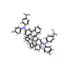 CC(C)c1ccc(N(c2ccc(F)cc2)c2ccc3c4c(c5ccccc5c3c2)-c2cc(N(c3ccc(F)cc3)c3ccc(C(C)C)cc3)c3ccccc3c2C42c3ccccc3-c3ccccc32)cc1